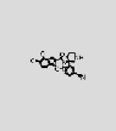 Cn1c(C(=O)NC2(c3cccc(C#N)c3)CCCNC2)cc2c(Cl)c(Cl)ccc21